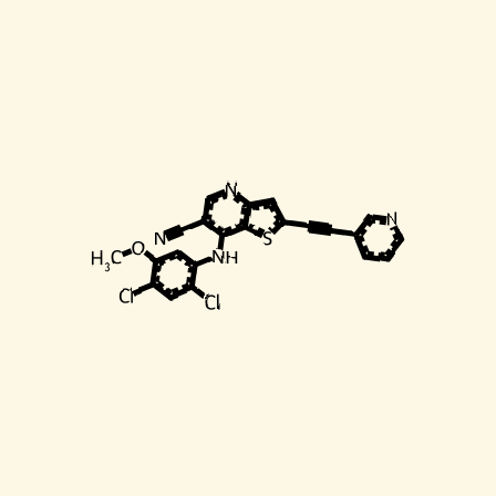 COc1cc(Nc2c(C#N)cnc3cc(C#Cc4cccnc4)sc23)c(Cl)cc1Cl